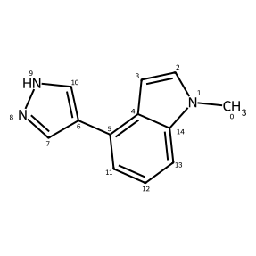 Cn1ccc2c(-c3cn[nH]c3)cccc21